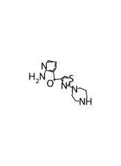 Nc1ncccc1C(=O)c1csc(N2CCCNCC2)n1